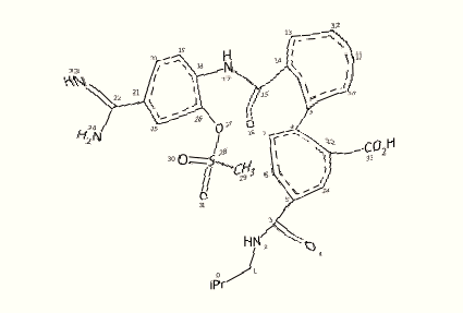 CC(C)CNC(=O)c1ccc(-c2ccccc2C(=O)Nc2ccc(C(=N)N)cc2OS(C)(=O)=O)c(C(=O)O)c1